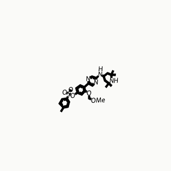 COCOc1cc(OS(=O)(=O)c2ccc(C)cc2)ccc1-c1cnc(NC2CC(C)(C)NC(C)(C)C2)cn1